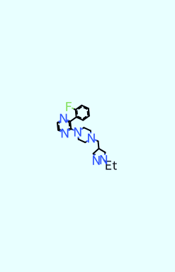 CCN1CC(CN2CCN(c3nccnc3-c3ccccc3F)CC2)C=N1